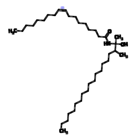 CCCCCCCC/C=C\CCCCCCCC(=O)NC(C)(O)C(C)CCCCCCCCCCCCCCCC